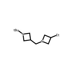 CCC1CN(CC2CN(C(C)(C)C)C2)C1